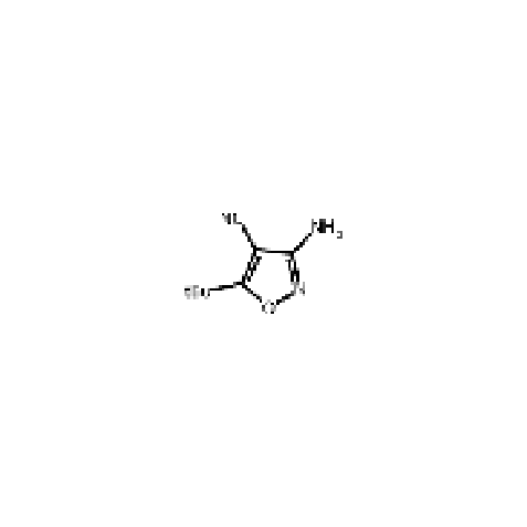 CC(C)(C)c1onc(N)c1C#N